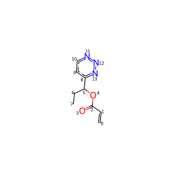 C=CC(=O)OC(CC)c1ccnnn1